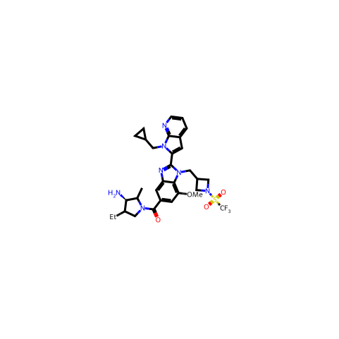 CCC1CN(C(=O)c2cc(OC)c3c(c2)nc(-c2cc4cccnc4n2CC2CC2)n3CC2CN(S(=O)(=O)C(F)(F)F)C2)C(C)[C@@H]1N